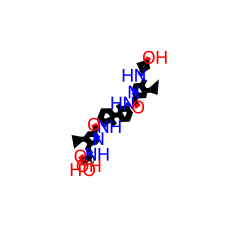 Cc1c(NC(=O)c2cc(C3CC3)c(CNC3CC(O)C3)cn2)cccc1-c1cccc(NC(=O)c2cc(C3CC3)c(CN[C@H](CO)C(=O)O)cn2)c1C